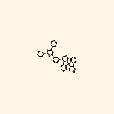 c1ccc(-c2nc(-c3ccccc3)nc(-c3cccc(-c4cccc5c4-c4ccccc4C54c5ccccc5-c5cnccc54)c3)n2)cc1